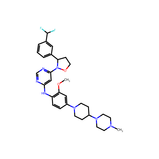 COc1cc(N2CCC(N3CCN(C)CC3)CC2)ccc1Nc1cc(N2OCCC2c2cccc(C(F)F)c2)ncn1